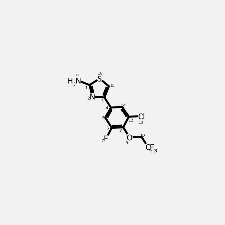 Nc1nc(-c2cc(F)c(OCC(F)(F)F)c(Cl)c2)cs1